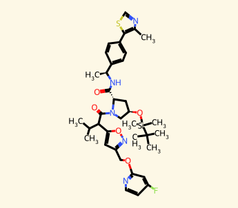 Cc1ncsc1-c1ccc([C@H](C)NC(=O)[C@@H]2C[C@@H](O[Si](C)(C)C(C)(C)C)CN2C(=O)C(c2cc(COc3cc(F)ccn3)no2)C(C)C)cc1